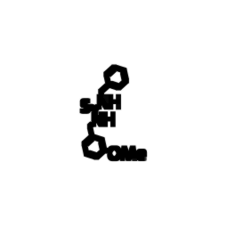 COc1cccc(CNC(=S)NCc2ccccc2)c1